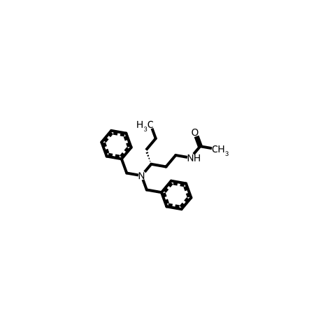 CCC[C@H](CCNC(C)=O)N(Cc1ccccc1)Cc1ccccc1